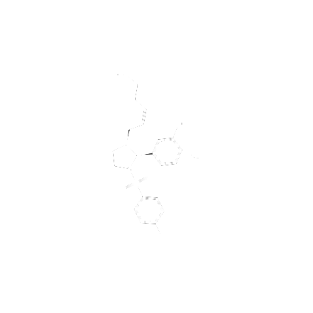 O=C([O-])CC/C=C\C[C@@H]1CCN(S(=O)(=O)c2ccc(F)cc2)[C@@H]1c1cccc(O)c1.[Na+]